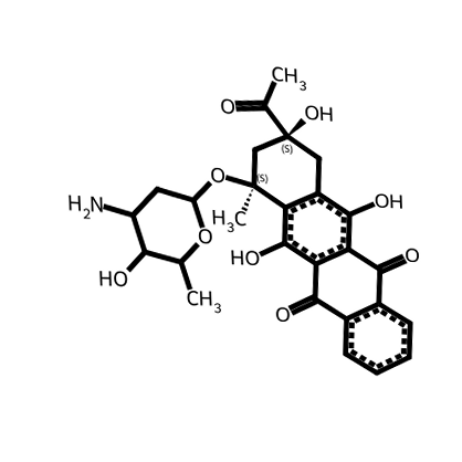 CC(=O)[C@]1(O)Cc2c(O)c3c(c(O)c2[C@@](C)(OC2CC(N)C(O)C(C)O2)C1)C(=O)c1ccccc1C3=O